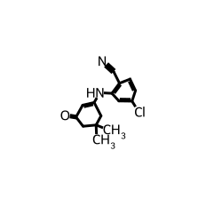 CC1(C)CC(=O)C=C(Nc2cc(Cl)ccc2C#N)C1